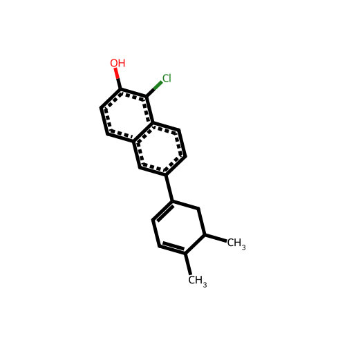 CC1=CC=C(c2ccc3c(Cl)c(O)ccc3c2)CC1C